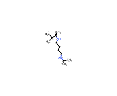 C=C(NCCCCNC(C)C)C(C)C